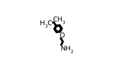 CC(C)c1ccc(OCCCN)cc1